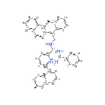 NC(NC(NCc1c2ccccc2cc2c1ccc1ccccc12)c1cccc(-c2cccc3ccccc23)c1)c1ccccc1